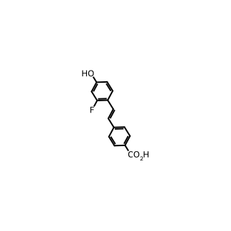 O=C(O)c1ccc(C=Cc2ccc(O)cc2F)cc1